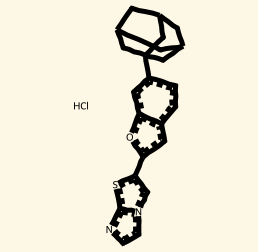 Cl.c1cn2cc(-c3cc4ccc(C56CC7CC(CC(C7)C5)C6)cc4o3)sc2n1